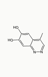 Cc1cnnc2cc(O)c(O)cc12